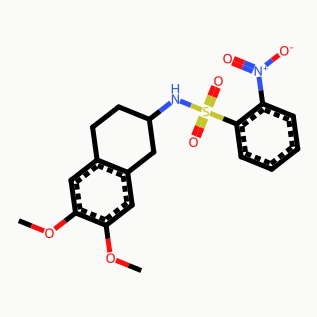 COc1cc2c(cc1OC)CC(NS(=O)(=O)c1ccccc1[N+](=O)[O-])CC2